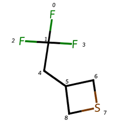 FC(F)(F)CC1CSC1